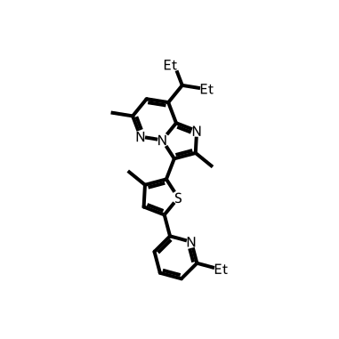 CCc1cccc(-c2cc(C)c(-c3c(C)nc4c(C(CC)CC)cc(C)nn34)s2)n1